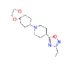 CCc1noc(C2CCN(C3CCC4(CC3)OCCO4)CC2)n1